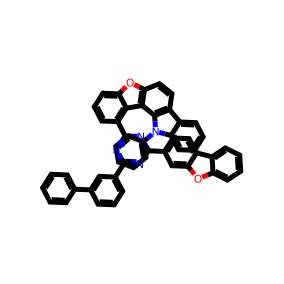 c1ccc(-c2cccc(-c3nc(-c4ccc5c(c4)oc4ccccc45)nc(-c4cccc5oc6ccc7c8ccccc8n(-c8ccccc8)c7c6c45)n3)c2)cc1